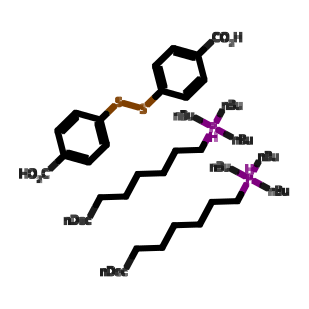 CCCCCCCCCCCCCCCC[PH](CCCC)(CCCC)CCCC.CCCCCCCCCCCCCCCC[PH](CCCC)(CCCC)CCCC.O=C(O)c1ccc(SSc2ccc(C(=O)O)cc2)cc1